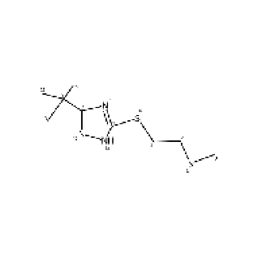 CSCCSc1nc(C(C)(C)C)n[nH]1